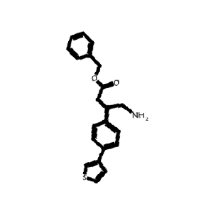 NCC(CC(=O)OCc1ccccc1)c1ccc(-c2ccsc2)cc1